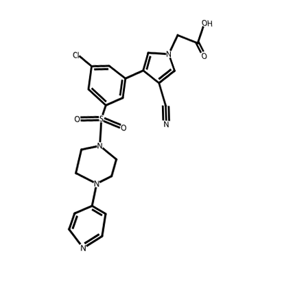 N#Cc1cn(CC(=O)O)cc1-c1cc(Cl)cc(S(=O)(=O)N2CCN(c3ccncc3)CC2)c1